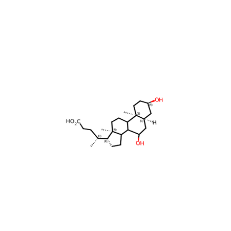 C[C@H](CCC(=O)O)[C@H]1CCC2C3C(O)C[C@@H]4C[C@H](O)CC[C@]4(C)C3CC[C@@]21C